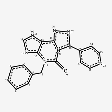 O=c1n(Cc2ccccc2)c2nc[nH]c2c2nnc(-c3ccncc3)n12